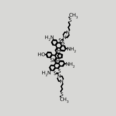 CCSCCCCN1CCN(C(=S)Sc2c3cc(N)ccc3c(C=C3C(c4ccc(O)cc4S)=C(C=C4c5ccc(N)cc5C5(SC(=[N+]6CCN(CCCCSCC)CC6)S5)c5cc(N)ccc54)[C@@H]4C=C[C@@H]3C4)c3ccc(N)cc23)CC1